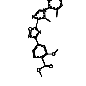 COC(=O)c1ccc(-c2noc(-c3ncn(-c4c(C)cccc4C)c3C)n2)cc1OC